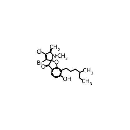 C=C1C(Cl)=C(Br)C2(Oc3c(ccc(O)c3CCCC(C)CC)C2=O)N1C